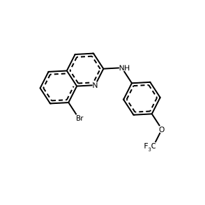 FC(F)(F)Oc1ccc(Nc2ccc3cccc(Br)c3n2)cc1